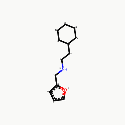 c1coc(CNCCC2CCCCC2)c1